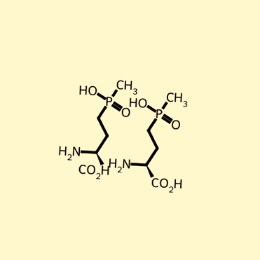 CP(=O)(O)CC[C@H](N)C(=O)O.CP(=O)(O)CC[C@H](N)C(=O)O